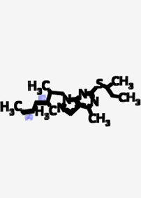 C/C=C\C=C(/C)C(C)Cn1ncc2c(C)nc(SC(C)CC)nc21